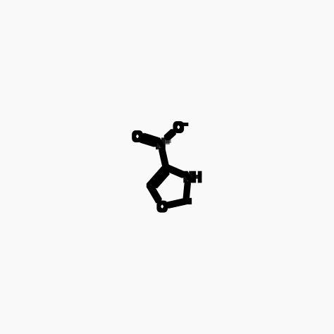 O=[N+]([O-])C1=CO[C]N1